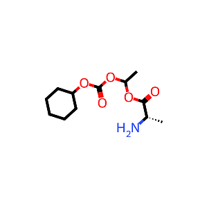 CC(OC(=O)OC1CCCCC1)OC(=O)[C@H](C)N